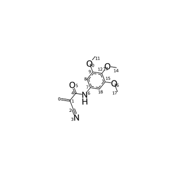 C=C(C#N)C(=O)Nc1cc(OC)c(OC)c(OC)c1